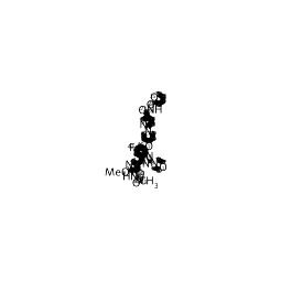 COc1ncc(-c2nc(N3CCOCC3)nc3c(OC4CCN(c5ccc(C(=O)NOC6CCCCO6)cn5)CC4)cc(F)cc23)cc1NS(C)(=O)=O